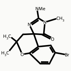 CNC1=NC2(CC(C)(C)Oc3ccc(Br)cc32)C(=O)N1C